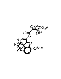 COc1ccc2c3c1OC1C(OC(=O)[C@@H](OC(C)=O)[C@H](O)C(=O)O)=CC[C@@]4(O)[C@@H](C2)N(C)CCC314